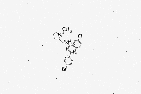 CCN1CCCC1CNc1nc(-c2ccc(Br)cc2)nc2ccc(Cl)cc12